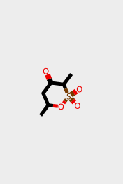 CC1CC(=O)C(C)S(=O)(=O)O1